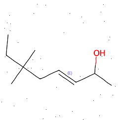 CCC(C)(C)C/C=C/C(C)O